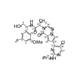 COc1cc(F)cc(C(CO)NC(=O)C(C)n2cnn3cc(-c4nc(NC(C)C)ncc4Cl)cc3c2=O)c1